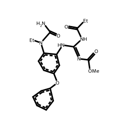 CCC(=O)NC(=NC(=O)OC)Nc1cc(Oc2ccccc2)ccc1N(CC)C(N)=O